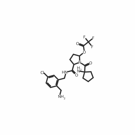 NCc1ccc(Cl)cc1CNC(=O)C1CCC(OC(=O)C(F)(F)F)N1C(=O)C1(N)CCCC1